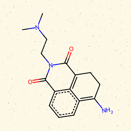 CN(C)CCN1C(=O)C2=c3c(cccc3=C(N)CC2)C1=O